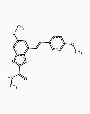 CNC(=O)c1cc2c(/C=C/c3ccc(OC)cc3)cc(OC)cc2o1